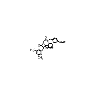 CCCCCC12c3ccccc3N(Cc3ccc(OC)cc3)C(=O)CN1C(=O)C2Oc1nc(C)cc(C)n1